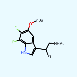 CCCCOc1cc2c(C(CC)CNC(C)=O)c[nH]c2c(F)c1F